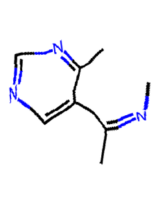 C/N=C(/C)c1cncnc1C